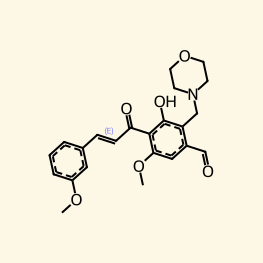 COc1cccc(/C=C/C(=O)c2c(OC)cc(C=O)c(CN3CCOCC3)c2O)c1